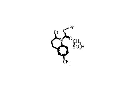 CCC1CCc2cc(C(F)(F)F)ccc2N1C(=O)OC(C)C.CS(=O)(=O)O